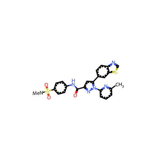 CNS(=O)(=O)c1ccc(NC(=O)c2cc(-c3ccc4ncsc4c3)n(-c3cccc(C)n3)n2)cc1